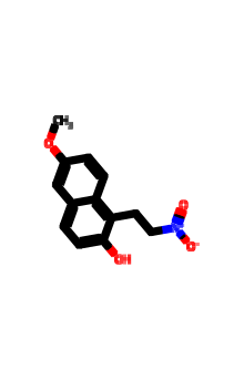 COc1ccc2c(CC[N+](=O)[O-])c(O)ccc2c1